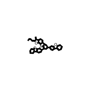 C=c1/c(=C\C=C/C)oc2c1ccc1c3cc(-c4ccc5c(c4)oc4ccccc45)cc4c3n(c12)C1c2oc3ccccc3c2C=CC41